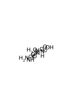 CCN(CCC(=O)Nc1cccc(C(=O)O)c1)c1ncc(C(=O)Oc2ccc(C(=N)N)cc2F)s1